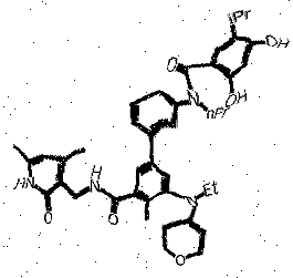 CCCN(C(=O)c1cc(C(C)C)c(O)cc1O)c1cccc(-c2cc(C(=O)NCc3c(C)cc(C)[nH]c3=O)c(C)c(N(CC)C3CCOCC3)c2)c1